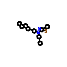 c1ccc(-c2ccc(N(c3ccc(-c4ccc5c(ccc6c7ccccc7ccc56)c4)cc3)c3cc4sc5ccccc5c4cn3)cc2)cc1